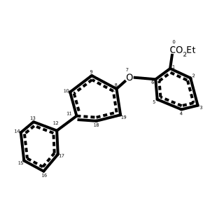 CCOC(=O)c1ccccc1Oc1ccc(-c2ccccc2)cc1